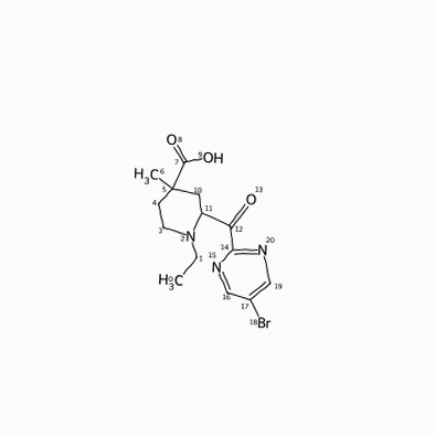 CCN1CCC(C)(C(=O)O)CC1C(=O)c1ncc(Br)cn1